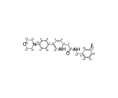 O=C(CC1C=CC(c2ccc(N3CCOCC3)cc2)=CN1)NCC1=C=C=CC(F)=C1